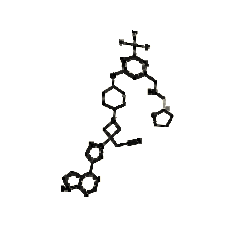 N#CCC1(n2cc(-c3ncnc4[nH]ccc34)cn2)CN(C2CCC(Oc3cc(CNC[C@@H]4CCCO4)nc(C(F)(F)F)n3)CC2)C1